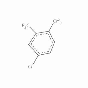 Cc1ccc(Cl)cc1C(F)(F)F